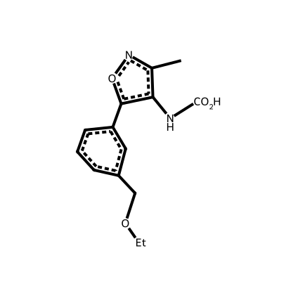 CCOCc1cccc(-c2onc(C)c2NC(=O)O)c1